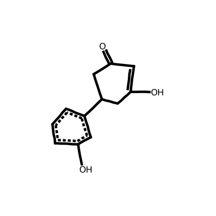 O=C1C=C(O)CC(c2cccc(O)c2)C1